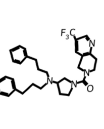 O=C(N1CCc2ncc(C(F)(F)F)cc2C1)N1CCC(N(CCCc2ccccc2)CCCc2ccccc2)C1